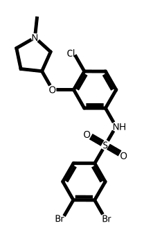 CN1CCC(Oc2cc(NS(=O)(=O)c3ccc(Br)c(Br)c3)ccc2Cl)C1